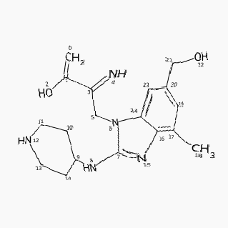 C=C(O)C(=N)Cn1c(NC2CCNCC2)nc2c(C)cc(CO)cc21